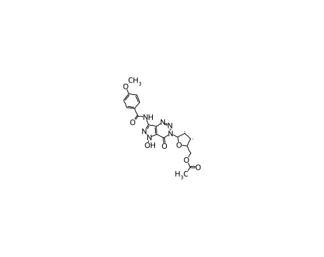 COc1ccc(C(=O)Nc2nn(O)c3c(=O)n(C4[CH][CH]C(COC(C)=O)O4)nnc23)cc1